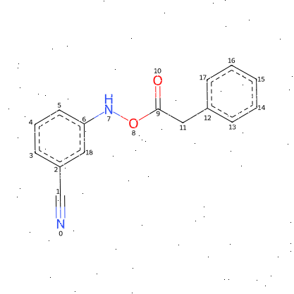 N#Cc1cccc(NOC(=O)Cc2ccccc2)c1